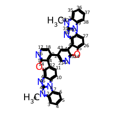 Cn1c2ccccc2n2c3ccc4c(oc5nccc(-c6cnc7oc8ccc9c(nc%10n(C)c%11ccccc%11n9%10)c8c7c6)c54)c3nc12